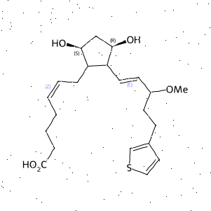 COC(/C=C/C1C(C/C=C\CCCC(=O)O)[C@@H](O)C[C@H]1O)CCc1ccsc1